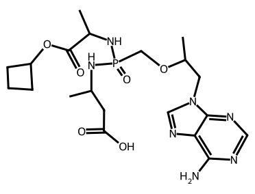 CC(CC(=O)O)NP(=O)(COC(C)Cn1cnc2c(N)ncnc21)NC(C)C(=O)OC1CCC1